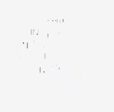 CCCCCC(CCC)NC(=O)NC1=CC=CCC(N(C)\C(CC)=N/C(C)=C/C=C\C(Cl)=C(C)C)=C1